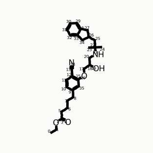 CCOC(=O)CCCCc1ccc(C#N)c(OCC(O)CNC(C)(C)CC2Cc3ccccc3C2)c1